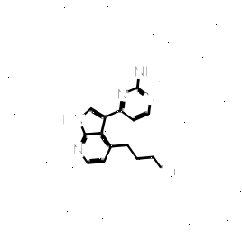 CC(C)CCCc1ccnc2[nH]cc(-c3ccnc(N)n3)c12